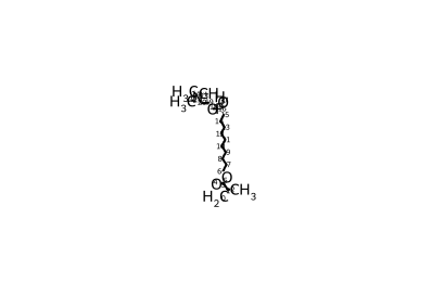 C=C(C)C(=O)OCCCCCCCCCC[PH](=O)OCC[N+](C)(C)C